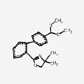 COC(OC)c1ccc(-c2ccccc2C2=NC(C)(C)CO2)cc1